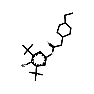 CCC1CCC(CC(=O)Oc2cc(C(C)(C)C)c(O)c(C(C)(C)C)c2)CC1